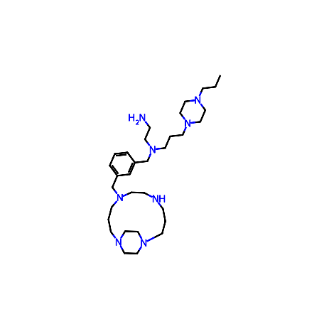 CCCN1CCN(CCCN(CCN)Cc2cccc(CN3CCCN4CCN(CCCNCC3)CC4)c2)CC1